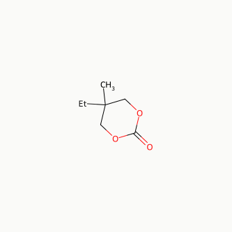 [CH2]CC1(C)COC(=O)OC1